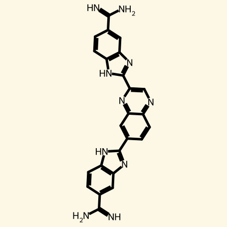 N=C(N)c1ccc2[nH]c(-c3ccc4ncc(-c5nc6cc(C(=N)N)ccc6[nH]5)nc4c3)nc2c1